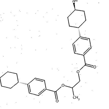 CCC[C@H]1CC[C@H](c2ccc(C(=O)OCC(C)OC(=O)c3ccc([C@H]4CC[C@H](CCC)CC4)cc3)cc2)CC1